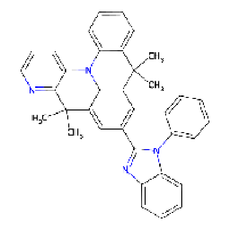 CC1(C)c2ccccc2N2c3cccnc3C(C)(C)c3cc(-c4nc5ccccc5n4-c4ccccc4)cc1c32